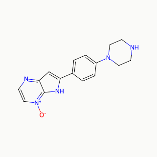 [O-][n+]1ccnc2cc(-c3ccc(N4CCNCC4)cc3)[nH]c21